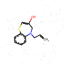 C=CCN1CC(O)=CSc2ccccc21